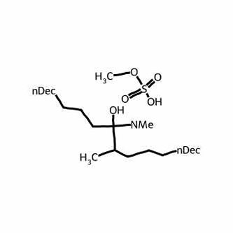 CCCCCCCCCCCCCC(C)C(O)(CCCCCCCCCCCCC)NC.COS(=O)(=O)O